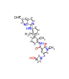 Cc1c(NC(=O)c2cc(CN3CC[C@@H](O)C3)cn(C)c2=O)cccc1-c1cccc(Nc2nccc3cc(C=O)cnc23)c1C